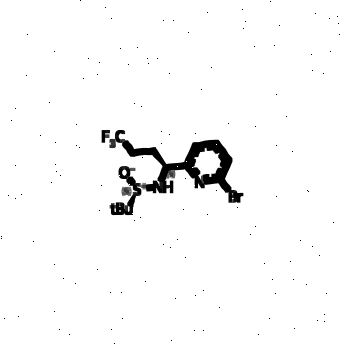 CC(C)(C)[S@@+]([O-])N[C@@H](CCC(F)(F)F)c1cccc(Br)n1